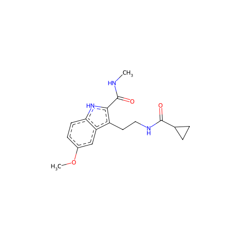 CNC(=O)c1[nH]c2ccc(OC)cc2c1CCNC(=O)C1CC1